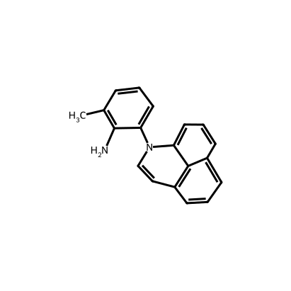 Cc1cccc(N2C=Cc3cccc4cccc2c34)c1N